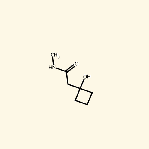 CNC(=O)CC1(O)CCC1